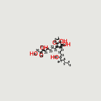 C=CO.CCCCC(C)C(O)CCC[C@H]1[C@H](O)CC(=O)[C@@H]1CCCCC=C(O)C(=O)CO